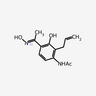 C=CCc1c(NC(C)=O)ccc(/C(C)=N/O)c1O